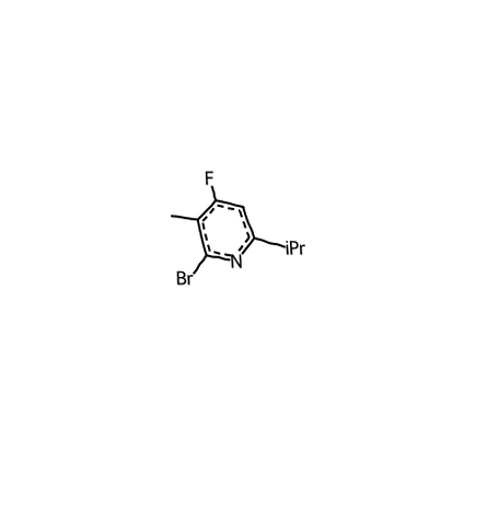 Cc1c(F)cc(C(C)C)nc1Br